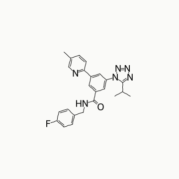 Cc1ccc(-c2cc(C(=O)NCc3ccc(F)cc3)cc(-n3nnnc3C(C)C)c2)nc1